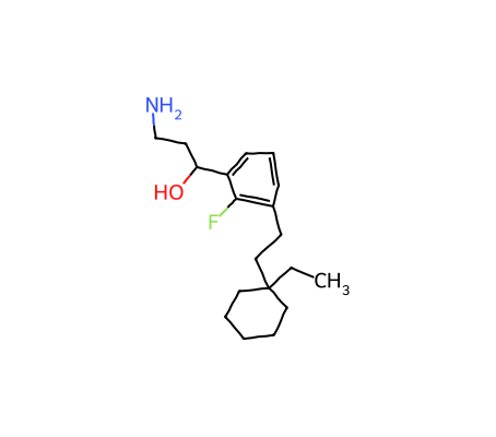 CCC1(CCc2cccc(C(O)CCN)c2F)CCCCC1